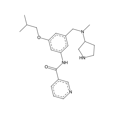 CC(C)COc1cc(CN(C)C2CCNC2)cc(NC(=O)c2cccnc2)c1